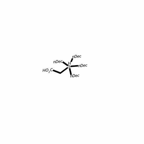 CCCCCCCCCC[SH](CCCCCCCCCC)(CCCCCCCCCC)(CCCCCCCCCC)CC(=O)O